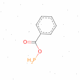 O=C(OP)c1ccccc1